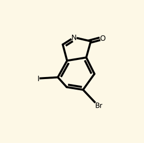 O=C1N=Cc2c(I)cc(Br)cc21